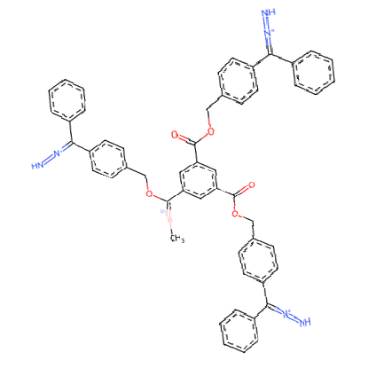 C/B=C(\OCc1ccc(C(=[N+]=N)c2ccccc2)cc1)c1cc(C(=O)OCc2ccc(C(=[N+]=N)c3ccccc3)cc2)cc(C(=O)OCc2ccc(C(=[N+]=N)c3ccccc3)cc2)c1